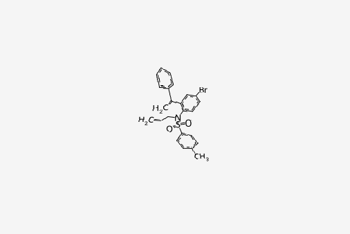 C=CCN(c1ccc(Br)cc1C(=C)c1ccccc1)S(=O)(=O)c1ccc(C)cc1